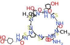 Cc1sc2nc1C(=O)NCc1nc(cs1)C(=O)N[C@@H](Cc1ccc(O)cc1)C(=O)N1C[C@H](O)[C@H](C)[C@H]1c1nc(cs1)-c1nc(cs1)-c1nc(-c3nc(C(=O)NC[C@H]4CC[C@H](C(=O)O)CC4)cs3)ccc1-c1nc(cs1)C(=O)N[C@H]2CC(N)=O